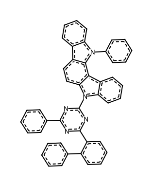 c1ccc(-c2nc(-c3ccccc3-c3ccccc3)nc(-n3c4ccccc4c4c3ccc3c5ccccc5n(-c5ccccc5)c34)n2)cc1